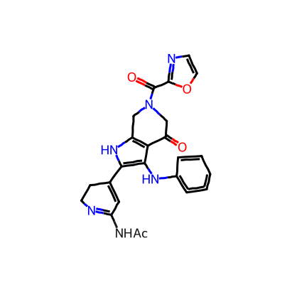 CC(=O)NC1=NCCC(c2[nH]c3c(c2NC2=C=C=CC=C2)C(=O)CN(C(=O)c2ncco2)C3)=C1